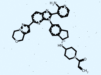 C=CC(=O)N1CCC(N[C@H]2CCc3cc(-n4c(-c5cccnc5N)nc5ccc(-c6cc7n(n6)CCOC7)nc54)ccc32)CC1